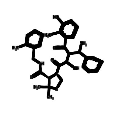 Cc1ccccc1CNC(=O)[C@H]1N(C(=O)C(O)C(C(=O)c2cccc(O)c2C)C(N)c2ccccc2)CSC1(C)C